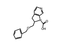 O=C(O)N1c2cnccc2CC1COCc1ccccc1